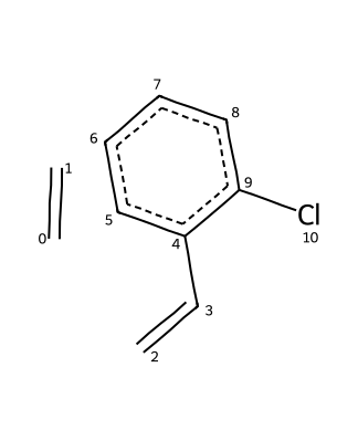 C=C.C=Cc1ccccc1Cl